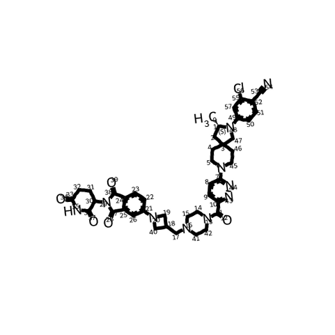 C[C@H]1CC2(CCN(c3ccc(C(=O)N4CCN(CC5CN(c6ccc7c(c6)C(=O)N(C6CCC(=O)NC6=O)C7=O)C5)CC4)nn3)CC2)CN1c1ccc(C#N)c(Cl)c1